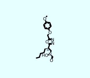 CCCCC[C@H](CN(O)C=O)c1nnc(COc2ccc(OC)cc2)o1